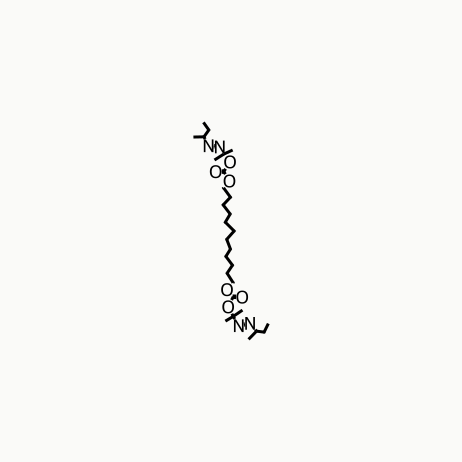 CCC(C)N=NC(C)(C)OC(=O)OCCCCCCCCCCCCOC(=O)OC(C)(C)N=NC(C)CC